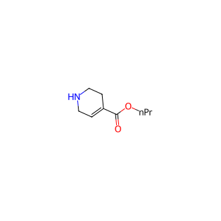 CCCOC(=O)C1=CCNCC1